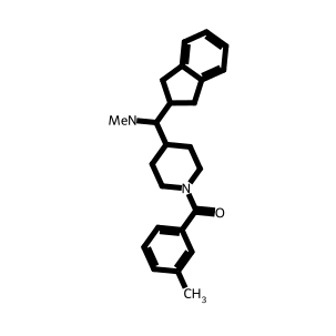 CNC(C1CCN(C(=O)c2cccc(C)c2)CC1)C1Cc2ccccc2C1